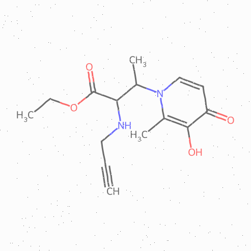 C#CCNC(C(=O)OCC)C(C)n1ccc(=O)c(O)c1C